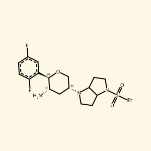 CC(C)S(=O)(=O)N1CCC2C1CCN2[C@H]1CO[C@H](c2cc(F)ccc2F)[C@@H](N)C1